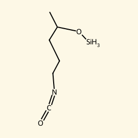 CC(CCCN=C=O)O[SiH3]